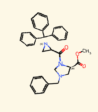 COC(=O)[C@H]1CN(Cc2ccccc2)CN1C(=O)C1C[N@@]1C(c1ccccc1)(c1ccccc1)c1ccccc1